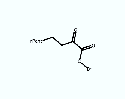 CCCCCCCC(=O)C(=O)OBr